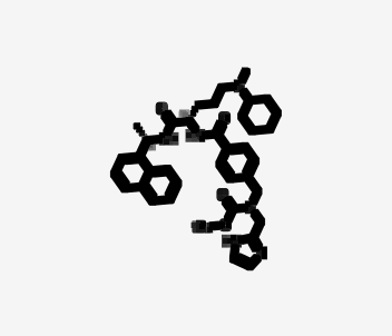 C[C@H](NC(=O)[C@H](CCCN(C)C1CCCCC1)NC(=O)c1ccc(CN(Cc2ncc[nH]2)C(=O)OC(C)(C)C)cc1)c1cccc2ccccc12